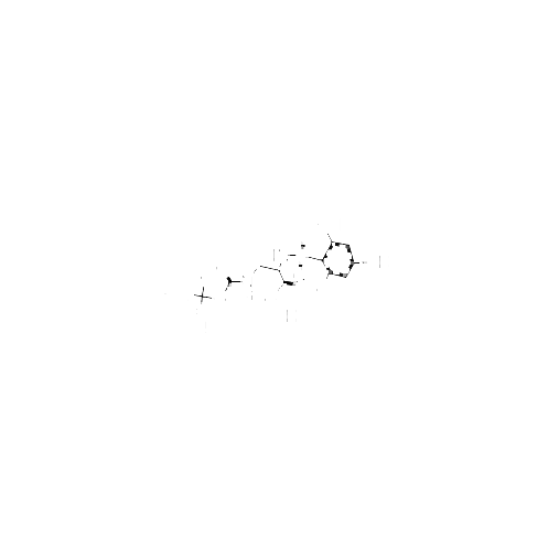 COC(=O)C(CNC(=O)OC(C)(C)C)NS(=O)(=O)c1c(C)cc(C)cc1C